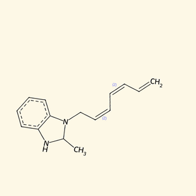 C=C/C=C\C=C/CN1c2ccccc2NC1C